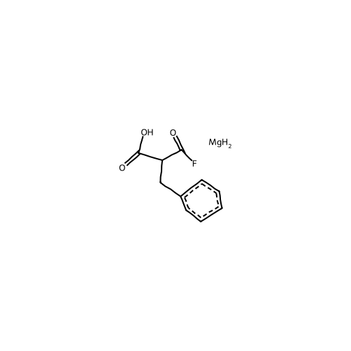 O=C(O)C(Cc1ccccc1)C(=O)F.[MgH2]